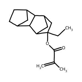 C=C(C)C(=O)OC1(CC)CC2CC1C1C3CCC(C3)C21